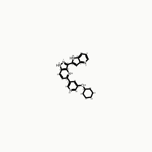 c1cnc2cc(-c3n[nH]c4ccc(-c5cncc(OC6CCCCC6)c5)nc34)[nH]c2c1